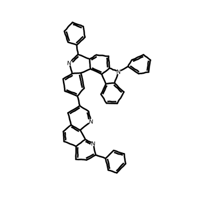 c1ccc(-c2ccc3ccc4cc(-c5ccc6nc(-c7ccccc7)c7ccc8c(c9ccccc9n8-c8ccccc8)c7c6c5)cnc4c3n2)cc1